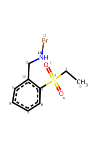 CCS(=O)(=O)c1ccccc1CNBr